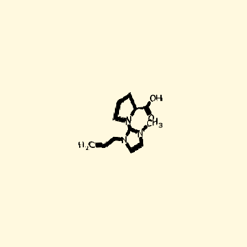 C=CCN1C=CN(C)C1N1CCC[C@H]1C(=O)O